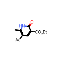 CCOC(=O)c1cc(C(C)=O)c(C)[nH]c1=O